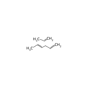 C=CC.C=CCC=CC